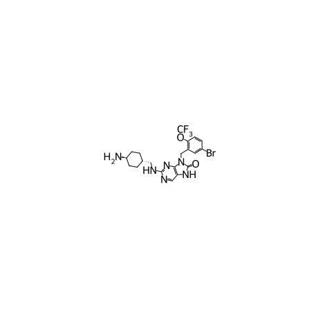 N[C@H]1CC[C@H](CNc2ncc3[nH]c(=O)n(Cc4cc(Br)ccc4OC(F)(F)F)c3n2)CC1